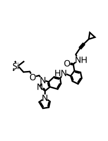 C[Si](C)(C)CCOCn1nc(-n2cccc2)c2ccc(Nc3ccccc3C(=O)NCC#CC3CC3)cc21